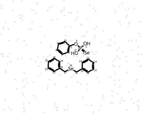 OP(O)(=[Se])Oc1ccccc1.c1ccc(C[Se]Cc2ccccc2)cc1